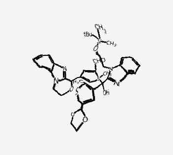 Cc1sc(C2OCCO2)cc1C(O)(c1nc2ccccc2n1CCO[Si](C)(C)C(C)(C)C)S1(C)C=C(C2OCCn3c2nc2ccccc23)C=C1C=O